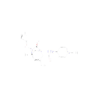 C=CCON1C(=O)N2C[C@H]1C=C(C)[C@H]2C(=O)NC1CCN(C)CC1